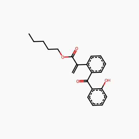 C=C(C(=O)OCCCCC)c1ccccc1C(=O)c1ccccc1O